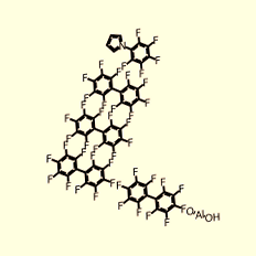 Fc1c(F)c(F)c(-c2c(F)c(F)c(F)c(F)c2F)c(F)c1F.Fc1c(F)c(F)c(-c2c(F)c(F)c(F)c(F)c2F)c(F)c1F.Fc1c(F)c(F)c(-c2c(F)c(F)c(F)c(F)c2F)c(F)c1F.Fc1c(F)c(F)c(-c2c(F)c(F)c(F)c(F)c2F)c(F)c1F.Fc1c(F)c(F)c(-n2cccc2)c(F)c1F.[O]=[Al][OH]